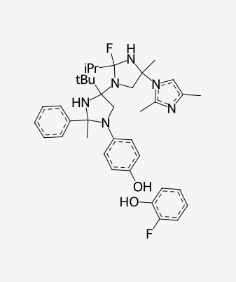 Cc1cn(C2(C)CN(C3(C(C)(C)C)CN(c4ccc(O)cc4)C(C)(c4ccccc4)N3)C(F)(C(C)C)N2)c(C)n1.Oc1ccccc1F